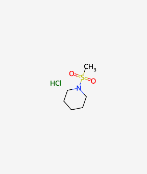 CS(=O)(=O)N1CCCCC1.Cl